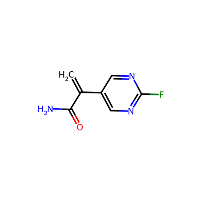 C=C(C(N)=O)c1cnc(F)nc1